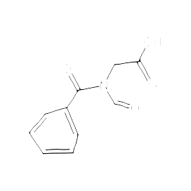 O=CN(CC(=O)O)C(=O)c1ccccc1